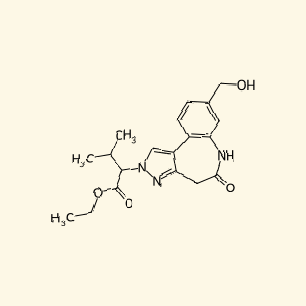 CCOC(=O)C(C(C)C)n1cc2c(n1)CC(=O)Nc1cc(CO)ccc1-2